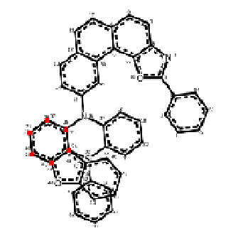 c1ccc(-c2nc3ccc4ccc5ccc(N(c6ccccc6[SiH](c6ccccc6)c6ccccc6)c6cccc7oc8ccccc8c67)cc5c4c3o2)cc1